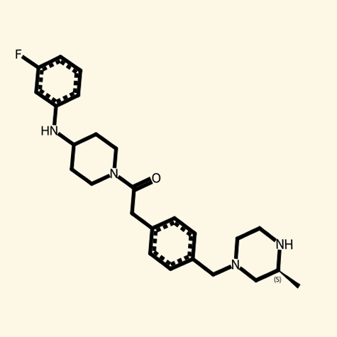 C[C@H]1CN(Cc2ccc(CC(=O)N3CCC(Nc4cccc(F)c4)CC3)cc2)CCN1